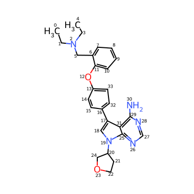 CCN(CC)Cc1ccccc1Oc1ccc(-c2cn(C3CCOC3)c3ncnc(N)c23)cc1